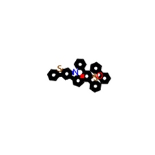 O=S12(c3ccccc3-c3ccccc31)c1ccccc1-c1ccc(-c3ccccc3-n3c4ccccc4c4cc5c(cc43)sc3ccccc35)cc12